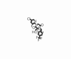 C[C@@]1(CO)C(=O)N(c2ncc(Cl)cc2F)CC(=O)N1Cc1ccc(C(F)(F)F)cc1